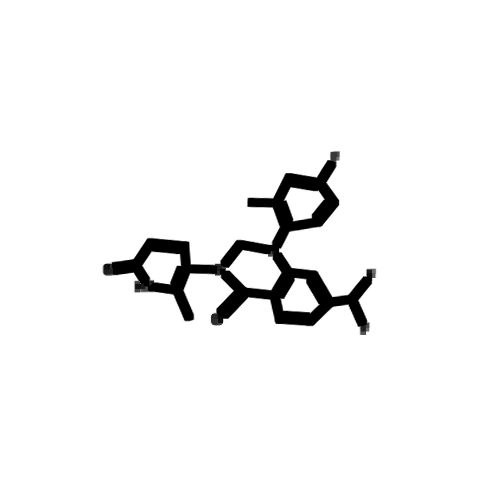 Cc1cc(F)ccc1N1CN(c2ccc(=O)[nH]c2C)C(=O)c2ccc(C(F)F)cc21